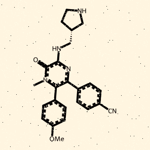 COc1ccc(-c2c(-c3ccc(C#N)cc3)nc(NC[C@@H]3CCNC3)c(=O)n2C)cc1